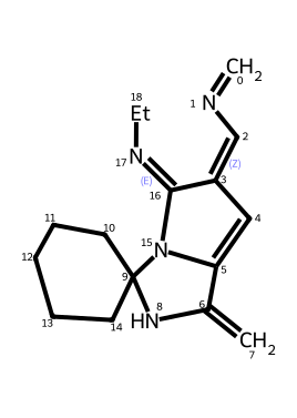 C=N/C=C1/C=C2C(=C)NC3(CCCCC3)N2/C1=N/CC